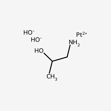 CC(O)CN.[OH-].[OH-].[Pt+2]